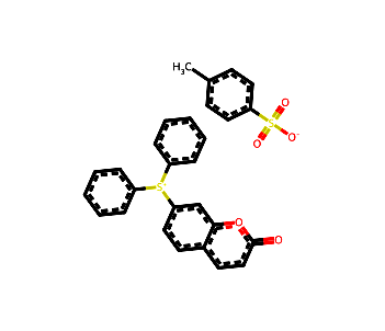 Cc1ccc(S(=O)(=O)[O-])cc1.O=c1ccc2ccc([S+](c3ccccc3)c3ccccc3)cc2o1